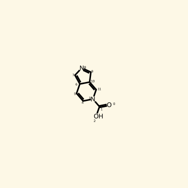 O=C(O)n1ccc2cncc-2c1